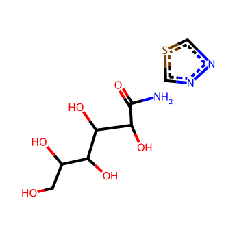 NC(=O)C(O)C(O)C(O)C(O)CO.c1nncs1